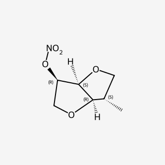 C[C@H]1CO[C@H]2[C@@H]1OC[C@H]2O[N+](=O)[O-]